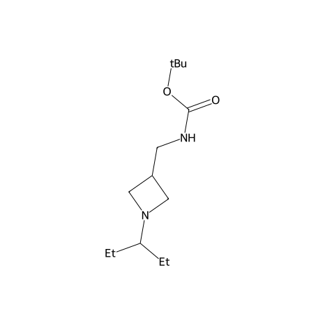 CCC(CC)N1CC(CNC(=O)OC(C)(C)C)C1